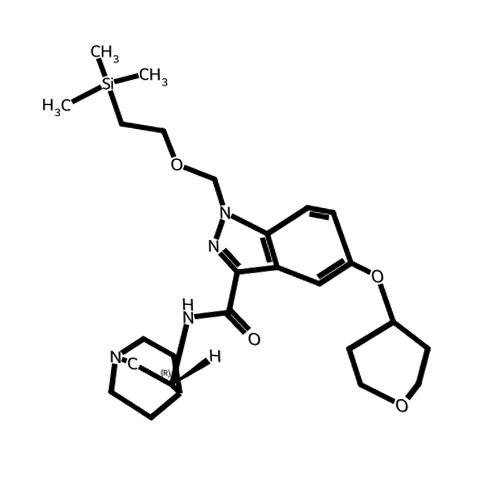 C[Si](C)(C)CCOCn1nc(C(=O)N[C@H]2CN3CCC2CC3)c2cc(OC3CCOCC3)ccc21